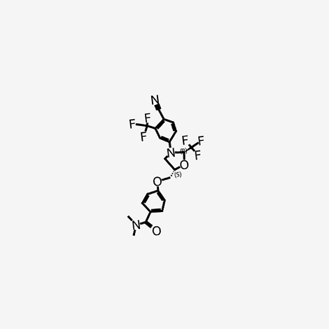 CN(C)C(=O)c1ccc(OC[C@@H]2CN(c3ccc(C#N)c(C(F)(F)F)c3)[C@@H](C(F)(F)F)O2)cc1